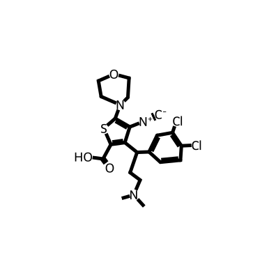 [C-]#[N+]c1c(N2CCOCC2)sc(C(=O)O)c1C(CCN(C)C)c1ccc(Cl)c(Cl)c1